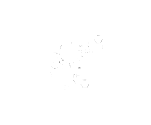 CCOc1cnc(O[C@@H]2C[C@H]3C(=O)N[C@]4(C(=O)N(C)S(=O)(=O)C5CC5)C[C@H]4C=CCC[C@@H](C)C[C@@H](C)[C@H](NC(=O)Oc4ccccc4F)C(=O)N3C2)c2ccccc12